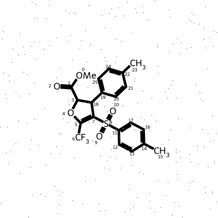 COC(=O)C1OC(C(F)(F)F)=C(S(=O)(=O)c2ccc(C)cc2)C1c1ccc(C)cc1